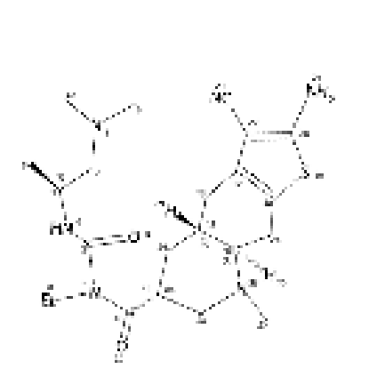 CCN(C(=O)N[C@@H](C)CN(C)C)C(=O)[C@@H]1C[C@@H]2Cc3c(sc(N)c3C#N)C[C@H]2N(C)C1